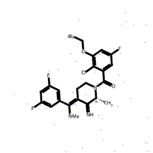 CCC(C)COc1cc(F)cc(C(=O)N2CC/C(=C(/NC)c3cc(F)cc(F)c3)C(=N)[C@H]2C)c1Cl